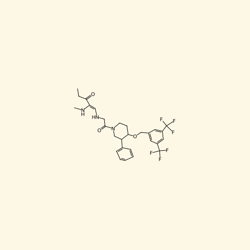 CCC(=O)/C(=C/NCC(=O)N1CCC(OCc2cc(C(F)(F)F)cc(C(F)(F)F)c2)C(c2ccccc2)C1)NC